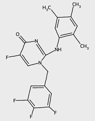 Cc1cc(C)c(Nc2nc(=O)c(F)cn2Cc2cc(F)c(F)c(F)c2)cc1C